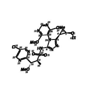 CCO[C@@H]1C[C@@H]1c1nnc(NS(=O)(=O)[C@@H](C)[C@H](OC)c2ncc(Cl)cn2)n1-c1c(OC)ncnc1OC